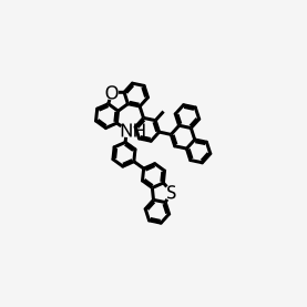 Cc1c(-c2cc3ccccc3c3ccccc23)cccc1-c1cccc2oc3cccc(Nc4cccc(-c5ccc6sc7ccccc7c6c5)c4)c3c12